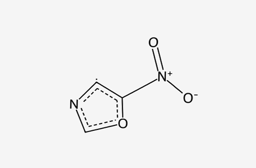 O=[N+]([O-])c1[c]nco1